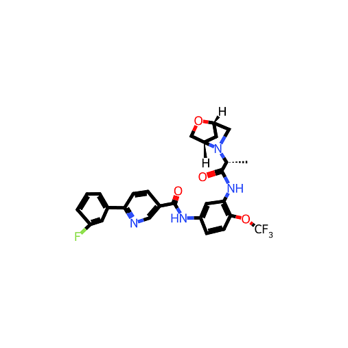 C[C@H](C(=O)Nc1cc(NC(=O)c2ccc(-c3cccc(F)c3)nc2)ccc1OC(F)(F)F)N1C[C@@H]2C[C@H]1CO2